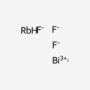 [Bi+3].[F-].[F-].[F-].[RbH]